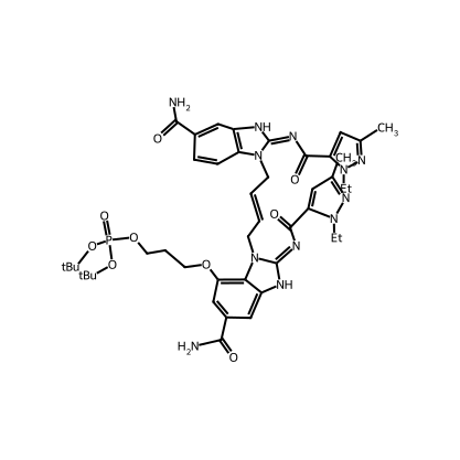 CCn1nc(C)cc1C(=O)/N=c1/[nH]c2cc(C(N)=O)ccc2n1C/C=C/Cn1/c(=N\C(=O)c2cc(C)nn2CC)[nH]c2cc(C(N)=O)cc(OCCCOP(=O)(OC(C)(C)C)OC(C)(C)C)c21